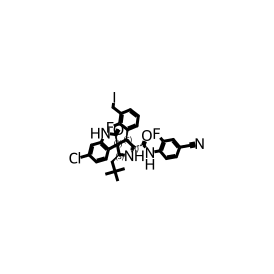 CC(C)(C)C[C@@H]1N[C@@H](C(=O)Nc2ccc(C#N)cc2F)[C@H](c2cccc(CI)c2F)[C@]12C(=O)Nc1cc(Cl)ccc12